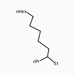 [CH2]CCCCCCCCCCC(CC)CC[CH2]